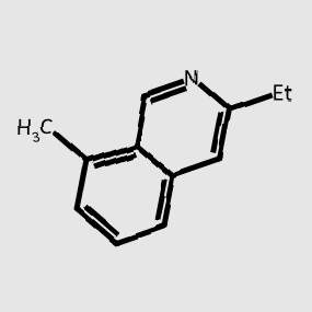 CCc1cc2cccc(C)c2cn1